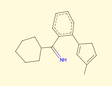 CC1=CCC(c2ccccc2C(=N)C2CCCCC2)=C1